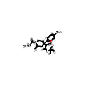 COc1ccc(C2(C3C(=O)OC(C)(C)OC3=O)CCN(C(=O)OC(C)(C)C)C(C)C2)cc1